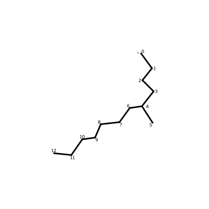 [CH2]CCCC(C)CCCCCCC